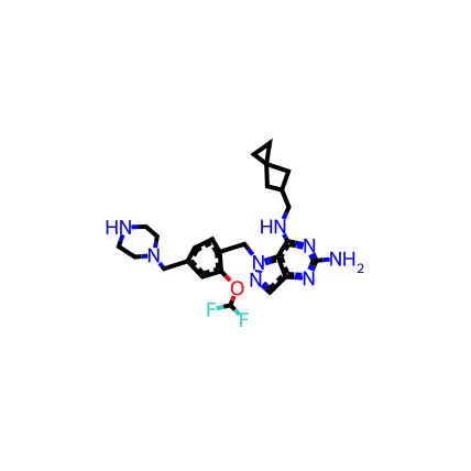 Nc1nc(NCC2CC3(CC3)C2)c2c(cnn2Cc2ccc(CN3CCNCC3)cc2OC(F)F)n1